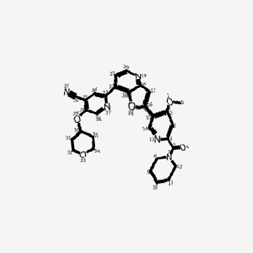 COc1cc(C(=O)N2CCCCC2)ncc1-c1cc2nccc(-c3cc(C#N)c(OC4CCOCC4)cn3)c2o1